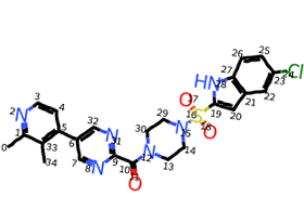 Cc1nccc(-c2cnc(C(=O)N3CCN(S(=O)(=O)c4cc5cc(Cl)ccc5[nH]4)CC3)nc2)c1C